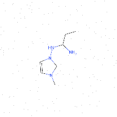 CCC(N)NN1C=CN(C)C1